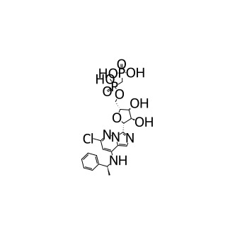 C[C@H](Nc1cc(Cl)nn2c([C@@H]3O[C@H](COP(=O)(O)CP(=O)(O)O)[C@@H](O)[C@H]3O)ncc12)c1ccccc1